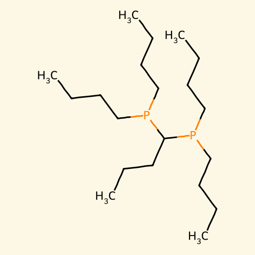 CCCCP(CCCC)C(CCC)P(CCCC)CCCC